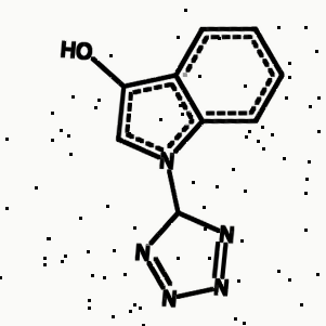 Oc1cn(C2N=NN=N2)c2ccccc12